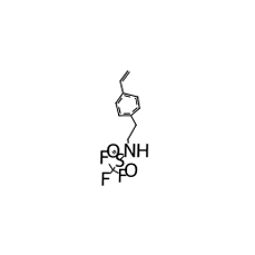 C=Cc1ccc(CCNS(=O)(=O)C(F)(F)F)cc1